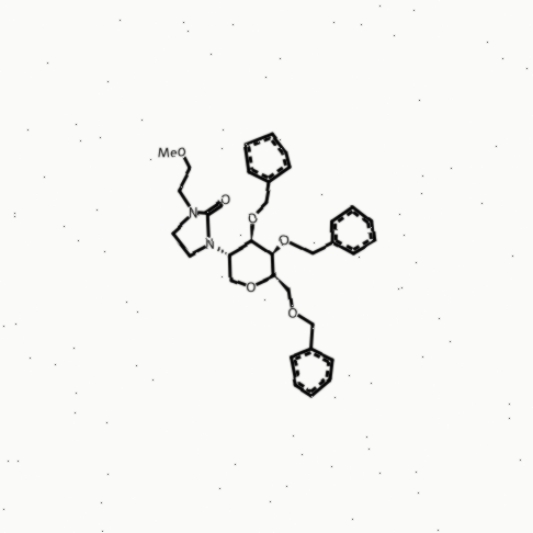 COCCN1CCN([C@H]2CO[C@H](COCc3ccccc3)[C@H](OCc3ccccc3)[C@@H]2OCc2ccccc2)C1=O